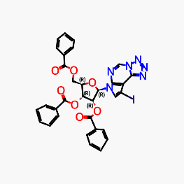 O=C(OC[C@H]1O[C@@H](n2cc(I)c3c2ncn2nnnc32)[C@H](OC(=O)c2ccccc2)[C@@H]1OC(=O)c1ccccc1)c1ccccc1